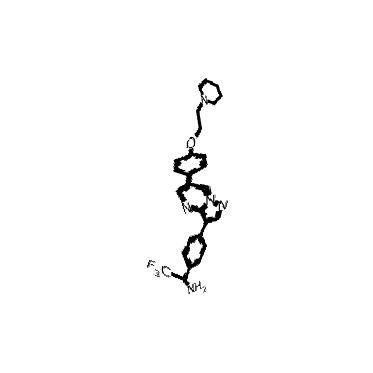 NC(c1ccc(-c2cnn3cc(-c4ccc(OCCN5CCCCC5)cc4)cnc23)cc1)C(F)(F)F